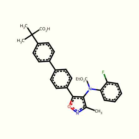 CCOC(=O)N(c1ccccc1F)c1c(C)noc1-c1ccc(-c2ccc(C(C)(C)C(=O)O)cc2)cc1